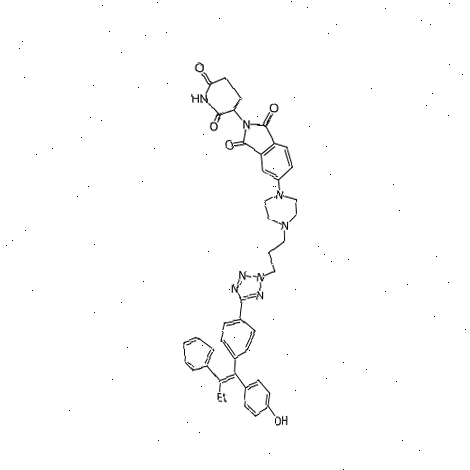 CCC(=C(c1ccc(O)cc1)c1ccc(-c2nnn(CCCN3CCN(c4ccc5c(c4)C(=O)N(C4CCC(=O)NC4=O)C5=O)CC3)n2)cc1)c1ccccc1